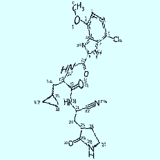 COc1ccc(Cl)c2[nH]c(C(=O)NC(CC3CC3)C(=O)NC(C#N)CC3CCNC3=O)nc12